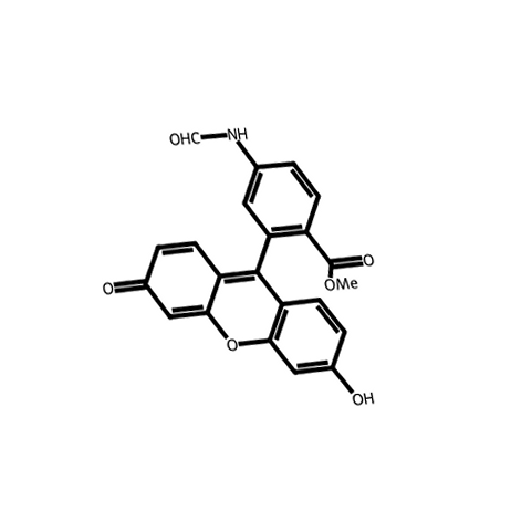 COC(=O)c1ccc(NC=O)cc1-c1c2ccc(=O)cc-2oc2cc(O)ccc12